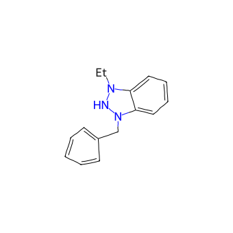 CCN1NN(Cc2ccccc2)c2ccccc21